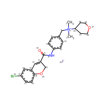 C[N+](C)(Cc1ccc(NC(=O)C2=Cc3cc(Br)ccc3OC2)cc1)C1CCOCC1.[I-]